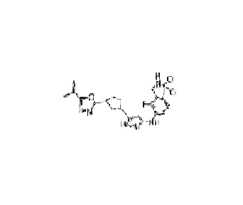 CC(C)c1cnc(C2CCC(c3cc(Nc4ccc5c(c4F)CNS5(=O)=O)n[nH]3)C2)o1